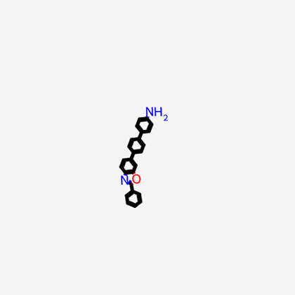 Nc1ccc(-c2ccc(-c3ccc4nc(-c5ccccc5)oc4c3)cc2)cc1